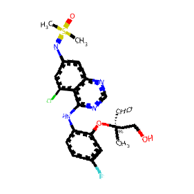 C[C@](C=O)(CO)Oc1cc(F)ccc1Nc1ncnc2cc(N=S(C)(C)=O)cc(Cl)c12